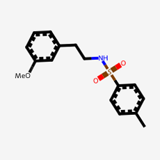 COc1cccc(CCNS(=O)(=O)c2ccc(C)cc2)c1